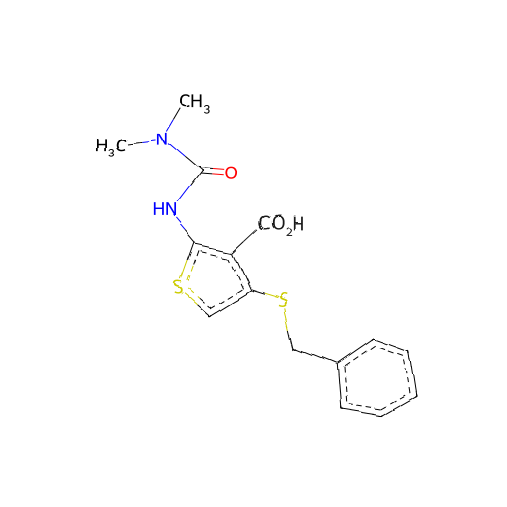 CN(C)C(=O)Nc1scc(SCc2ccccc2)c1C(=O)O